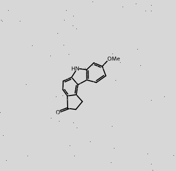 COc1ccc2c(c1)[nH]c1ccc3c(c12)CCC3=O